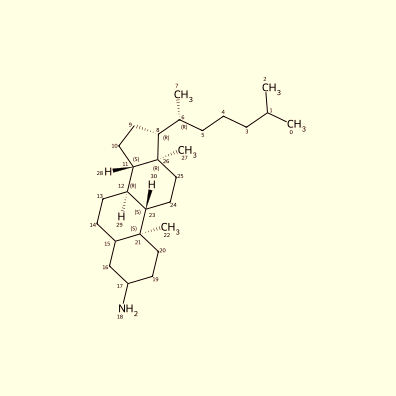 CC(C)CCC[C@@H](C)[C@H]1CC[C@H]2[C@@H]3CCC4CC(N)CC[C@]4(C)[C@H]3CC[C@]12C